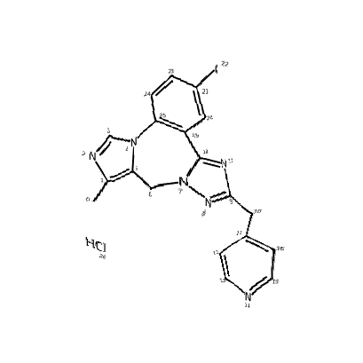 Cc1ncn2c1Cn1nc(Cc3ccncc3)nc1-c1cc(I)ccc1-2.Cl